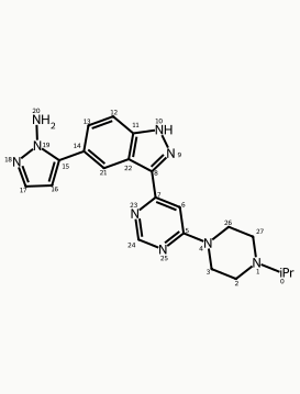 CC(C)N1CCN(c2cc(-c3n[nH]c4ccc(-c5ccnn5N)cc34)ncn2)CC1